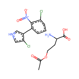 CC(=O)OCCC(N)C(=O)O.O=[N+]([O-])c1c(Cl)cccc1-c1c[nH]cc1Cl